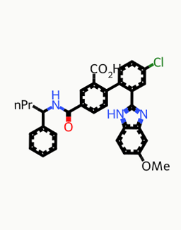 CCCC(NC(=O)c1ccc(-c2ccc(Cl)cc2-c2nc3cc(OC)ccc3[nH]2)c(C(=O)O)c1)c1ccccc1